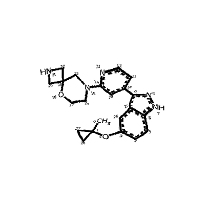 CC1(Oc2ccc3[nH]nc(-c4ccnc(N5CCOC6(CNC6)C5)c4)c3c2)CC1